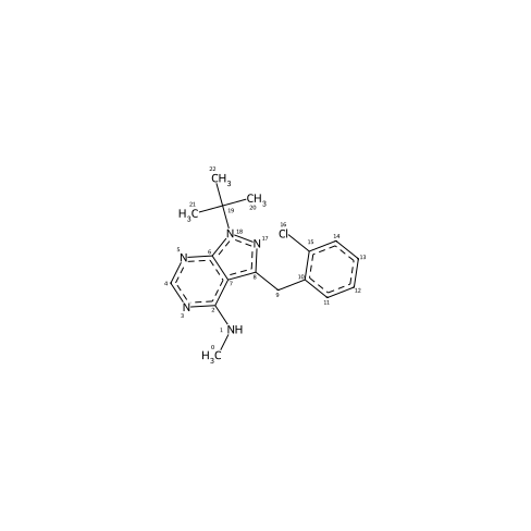 CNc1ncnc2c1c(Cc1ccccc1Cl)nn2C(C)(C)C